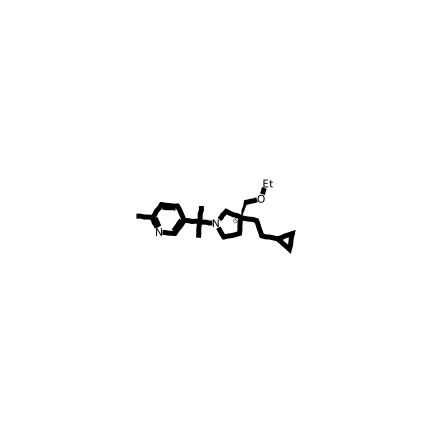 CCOC[C@@]1(CCC2CC2)CCN(C(C)(C)c2ccc(C)nc2)C1